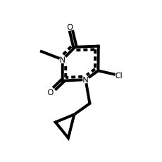 Cn1c(=O)cc(Cl)n(CC2CC2)c1=O